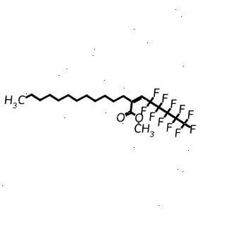 CCCCCCCCCCCCC(=CC(F)(F)C(F)(F)C(F)(F)C(F)(F)C(F)(F)F)C(=O)OC